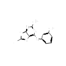 Cc1nc(Nc2cccc(C(F)(F)F)c2)c2nc(C)sc2n1